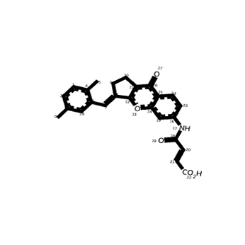 Cc1ccc(C)c(C=C2CCc3c2oc2cc(NC(=O)/C=C/C(=O)O)ccc2c3=O)c1